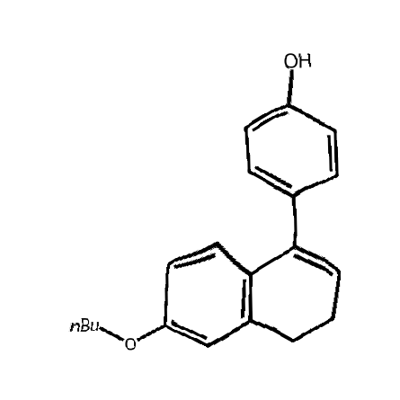 CCCCOc1ccc2c(c1)CCC=C2c1ccc(O)cc1